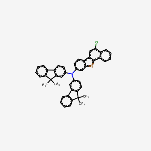 CC1(C)c2ccccc2-c2cc(N(c3ccc4c(c3)C(C)(C)c3ccccc3-4)c3ccc4c(c3)sc3c5ccccc5c(Cl)cc43)ccc21